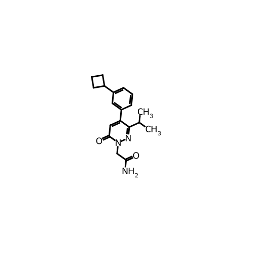 CC(C)c1nn(CC(N)=O)c(=O)cc1-c1cccc(C2CCC2)c1